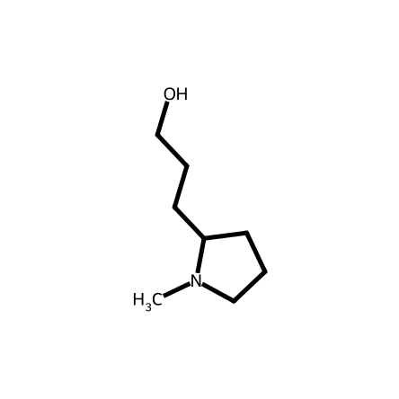 CN1CCCC1CCCO